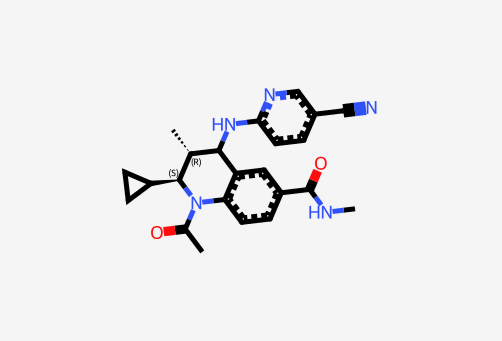 CNC(=O)c1ccc2c(c1)C(Nc1ccc(C#N)cn1)[C@@H](C)[C@H](C1CC1)N2C(C)=O